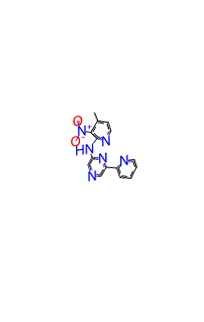 Cc1ccnc(Nc2cncc(-c3ccccn3)n2)c1[N+](=O)[O-]